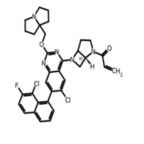 C=CC(=O)N1CCC2[C@H]1CN2c1nc(OCC23CCCN2CCC3)nc2cc(-c3cccc4ccc(F)c(Cl)c34)c(Cl)cc12